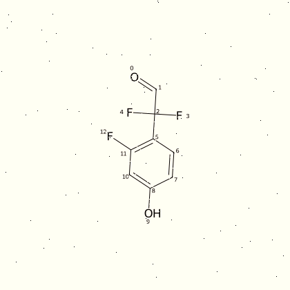 O=CC(F)(F)c1ccc(O)cc1F